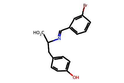 O=C(O)C(Cc1ccc(O)cc1)N=Cc1cccc(Br)c1